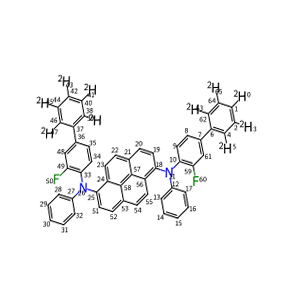 [2H]c1c([2H])c([2H])c(-c2ccc(N(c3ccccc3)c3ccc4ccc5c(N(c6ccccc6)c6ccc(-c7c([2H])c([2H])c([2H])c([2H])c7[2H])cc6F)ccc6ccc3c4c65)c(F)c2)c([2H])c1[2H]